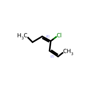 C/C=C\C(Cl)=C/CC